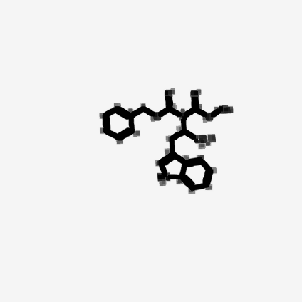 CC(C)(C)OC(=O)N(C(=O)OCc1ccccc1)C(Cc1c[nH]c2ccccc12)C(=O)O